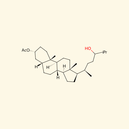 CC(=O)O[C@@H]1CC[C@@]2(C)[C@H](CC[C@@H]3[C@@H]2CC[C@]2(C)[C@@H]([C@H](C)CCC(O)C(C)C)CC[C@@H]32)C1